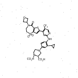 O=C(O)[C@@H]1CN(c2ccc(Nc3ncc(C(F)(F)F)c(-c4cc5c(s4)C(=O)N(C4COC4)CCS5(=O)=O)n3)c(C3CC3)c2)CCN1C(=O)O